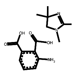 CC1=NC(C)(C)CN1C.Nc1cccc(C(=O)O)c1C(=O)O